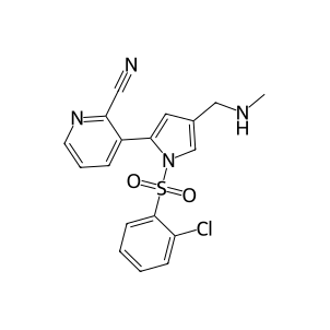 CNCc1cc(-c2cccnc2C#N)n(S(=O)(=O)c2ccccc2Cl)c1